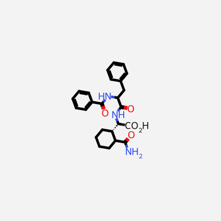 NC(=O)C1CCCC[C@@H]1C(NC(=O)C(Cc1ccccc1)NC(=O)c1ccccc1)C(=O)O